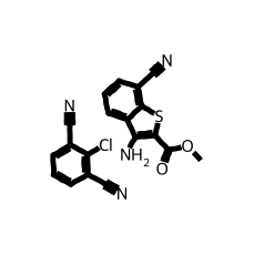 COC(=O)c1sc2c(C#N)cccc2c1N.N#Cc1cccc(C#N)c1Cl